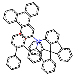 c1ccc(-c2ccccc2-c2ccccc2N(c2ccc3c4ccccc4c4ccccc4c3c2)c2cccc3c2C2(c4ccccc4-c4ccccc42)c2ccccc2-3)cc1